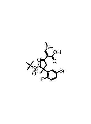 CN(C)C=C(C(=O)O)C(=O)CC(C)(N[S@+]([O-])C(C)(C)C)c1cc(Br)ccc1F